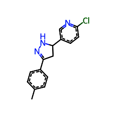 Cc1ccc(C2=NNC(c3ccc(Cl)nc3)C2)cc1